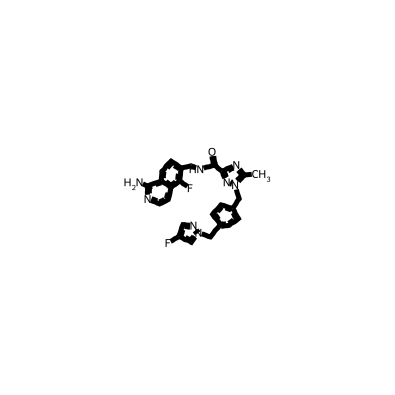 Cc1nc(C(=O)NCc2ccc3c(N)nccc3c2F)nn1Cc1ccc(Cn2cc(F)cn2)cc1